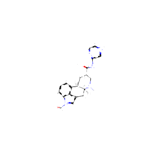 CN1C[C@H](C(=O)Nc2cnccn2)C[C@@H]2c3cccc4c3c(cn4CO)C[C@H]21